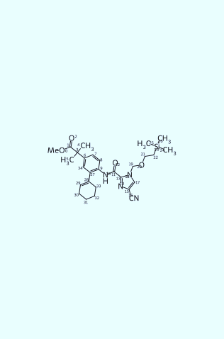 COC(=O)C(C)(C)c1ccc(NC(=O)c2nc(C#N)cn2COCC[Si](C)(C)C)c(C2=CCCCC2)c1